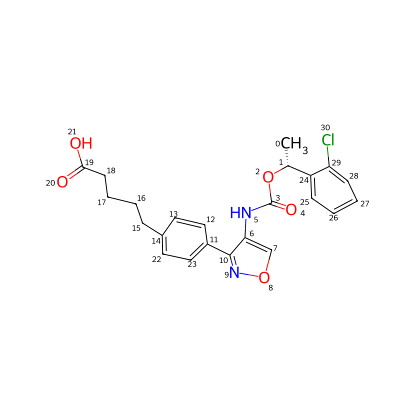 C[C@@H](OC(=O)Nc1conc1-c1ccc(CCCCC(=O)O)cc1)c1ccccc1Cl